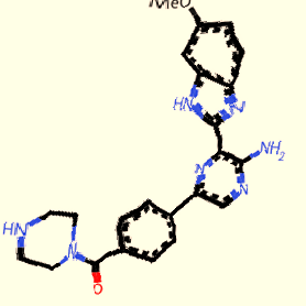 COc1ccc2nc(-c3nc(-c4ccc(C(=O)N5CCNCC5)cc4)cnc3N)[nH]c2c1